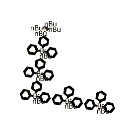 CCCC[B-](c1ccccc1)(c1ccccc1)c1ccccc1.CCCC[B-](c1ccccc1)(c1ccccc1)c1ccccc1.CCCC[B-](c1ccccc1)(c1ccccc1)c1ccccc1.CCCC[B-](c1ccccc1)(c1ccccc1)c1ccccc1.CCCC[B-](c1ccccc1)(c1ccccc1)c1ccccc1.CCCC[N+](CCCC)(CCCC)CCCC